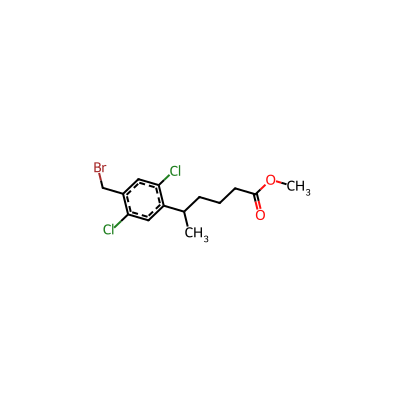 COC(=O)CCCC(C)c1cc(Cl)c(CBr)cc1Cl